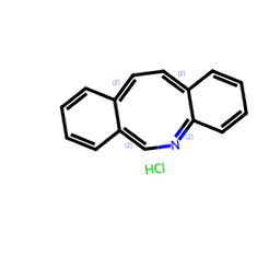 C1=c2/cccc/c2=C/N=c2/cccc/c2=C/1.Cl